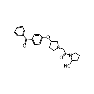 N#CC1CCCN1C(=O)CN1CCC(Oc2ccc(C(=O)c3ccccc3)cc2)C1